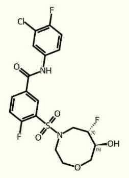 O=C(Nc1ccc(F)c(Cl)c1)c1ccc(F)c(S(=O)(=O)N2CCOC[C@H](O)[C@@H](F)C2)c1